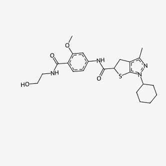 COc1cc(NC(=O)C2Cc3c(C)nn(C4CCCCC4)c3S2)ccc1C(=O)NCCO